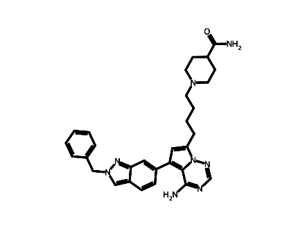 NC(=O)C1CCN(CCCCc2cc(-c3ccc4cn(Cc5ccccc5)nc4c3)c3c(N)ncnn23)CC1